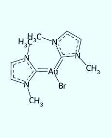 Cn1ccn(C)[c]1=[Au]([Br])=[c]1n(C)ccn1C